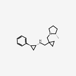 C[C@H]1CCCN1CC1(CN[C@@H]2C[C@H]2c2ccccc2)CC1